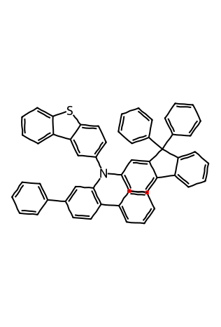 c1ccc(-c2ccc(-c3ccccc3)c(N(c3ccc4c(c3)C(c3ccccc3)(c3ccccc3)c3ccccc3-4)c3ccc4sc5ccccc5c4c3)c2)cc1